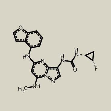 CNc1cc(Nc2cccc3occc23)nc2c(NC(=O)N[C@@H]3C[C@@H]3F)cnn12